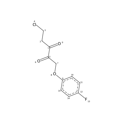 O=C(CCCl)C(=O)COc1ccc(F)cc1